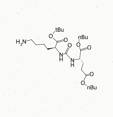 CCCCOC(=O)CC[C@H](NC(=O)N[C@@H](CCCCN)C(=O)OC(C)(C)C)C(=O)OCCCC